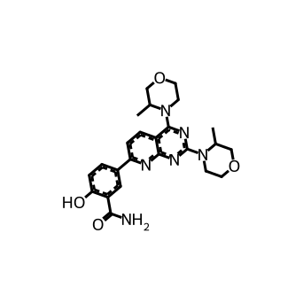 CC1COCCN1c1nc(N2CCOCC2C)c2ccc(-c3ccc(O)c(C(N)=O)c3)nc2n1